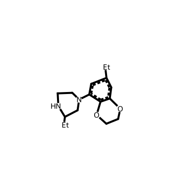 CCc1cc2c(c(N3CCNC(CC)C3)c1)OCCO2